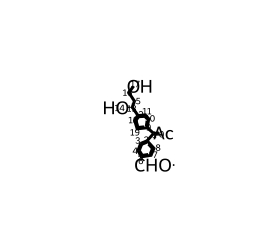 CC(=O)C(c1ccc([C]=O)cc1)c1ccc([C@H](O)CCO)cc1